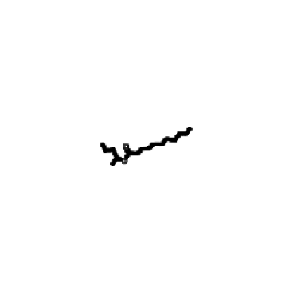 CCCCCCCCCCC(=O)OC(C)CCC